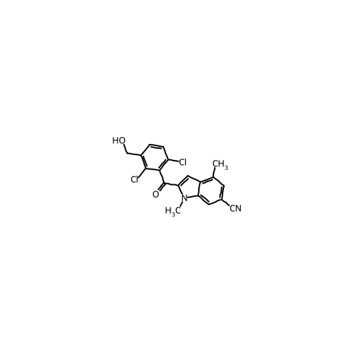 Cc1cc(C#N)cc2c1cc(C(=O)c1c(Cl)ccc(CO)c1Cl)n2C